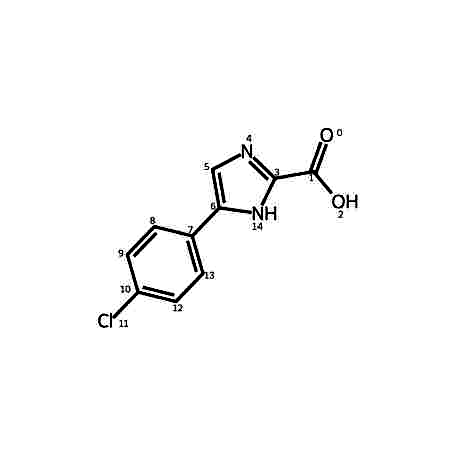 O=C(O)c1ncc(-c2ccc(Cl)cc2)[nH]1